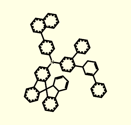 C1=CC2c3ccccc3C3(c4ccccc4-c4ccc(N(c5ccc(-c6cccc7ccccc67)cc5)c5ccc(C6C=C(c7ccccc7)C=CC6)c(-c6ccccc6)c5)cc43)C2C=C1